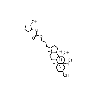 CC[C@H]1[C@@H](O)[C@@H]2[C@H](CC[C@]3(C)[C@@H](CCCOC(=O)N[C@@H]4CCC[C@@H]4O)CC[C@@H]23)[C@@]2(C)CC[C@@H](O)C[C@@H]12